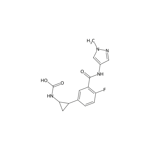 Cn1cc(NC(=O)c2cc(C3CC3NC(=O)O)ccc2F)cn1